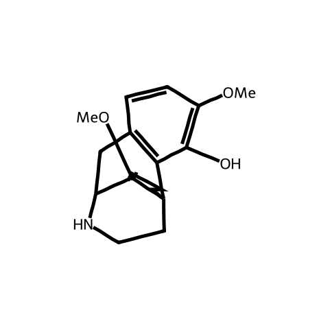 COC1=CCCC23CCNC(Cc4ccc(OC)c(O)c42)C13